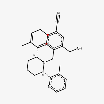 CC1=CCCN=C1[C@H]1CCC[C@@H](c2ncccc2C)N1Cc1ccc(C#N)cc1CO